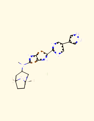 CN(c1nc2sc(-c3ncc(-c4cn[nH]c4)cn3)nc2s1)C1C[C@H]2CC[C@@H](C1)N2.Cl